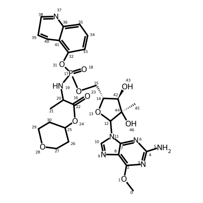 COc1nc(N)nc2c1ncn2C1O[C@H](COP(=O)(NC(C)C(=O)OC2CCOCC2)Oc2cccc3ncccc23)[C@@H](O)[C@@]1(C)O